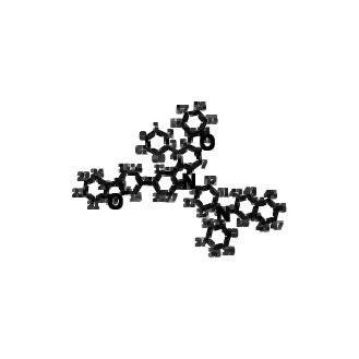 c1ccc(-c2c3c(cc4c2c2cc(-c5ccc6c(c5)oc5ccccc56)ccc2n4-c2ccc(N(c4ccccc4)c4ccc5ccccc5c4)cc2)oc2ccccc23)cc1